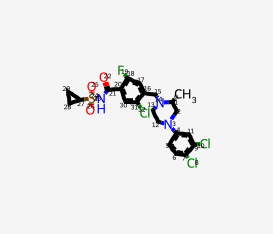 CC1CN(c2ccc(Cl)c(Cl)c2)CCN1Cc1cc(F)c(C(=O)NS(=O)(=O)C2CC2)cc1Cl